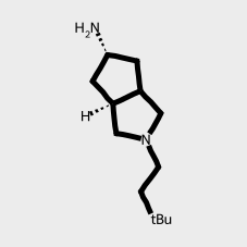 CC(C)(C)CCN1CC2C[C@@H](N)C[C@@H]2C1